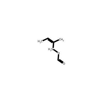 CC=C(C)[SiH2]OC=O